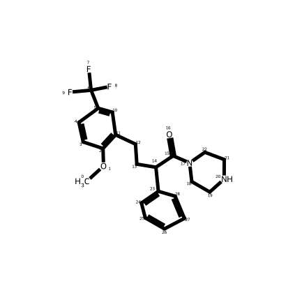 COc1ccc(C(F)(F)F)cc1CCC(C(=O)N1CCNCC1)c1ccccc1